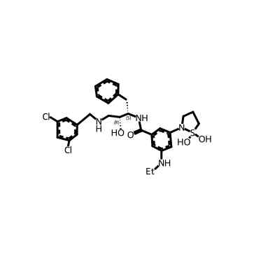 CCNc1cc(C(=O)N[C@@H](Cc2ccccc2)[C@H](O)CNCc2cc(Cl)cc(Cl)c2)cc(N2CCCS2(O)O)c1